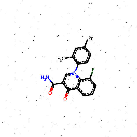 CC(C)c1ccc(-n2cc(C(N)=O)c(=O)c3cccc(F)c32)c(C(F)(F)F)c1